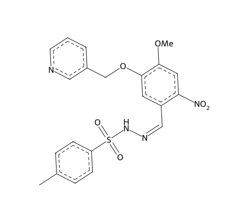 COc1cc([N+](=O)[O-])c(/C=N\NS(=O)(=O)c2ccc(C)cc2)cc1OCc1cccnc1